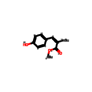 CCCCOC(=O)C(=Cc1ccc(O)cc1)CCCC